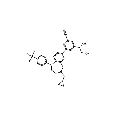 N#Cc1cc([C@H](O)CO)cc(-c2ccc3c(c2)CN(CC2CC2)CCN3c2ccc(C(F)(F)F)cc2)n1